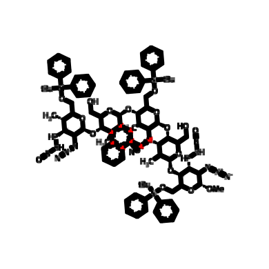 CO[C@@H]1OC(CO[Si](c2ccccc2)(c2ccccc2)C(C)(C)C)[C@@H](O[C@@H]2OC(CO)[C@@H](O[C@@H]3OC(CO[Si](c4ccccc4)(c4ccccc4)C(C)(C)C)[C@@H](O[C@@H]4OC(CO)[C@@H](O[C@@H]5OC(CO[Si](c6ccccc6)(c6ccccc6)C(C)(C)C)[C@@H](C)[C@H](PBB=O)C5N=[N+]=[N-])[C@H](C)C4OC(=O)c4ccccc4)[C@H](C)C3N=[N+]=[N-])[C@@H](OCc3ccccc3)C2C)[C@H](PBB=O)C1N=[N+]=[N-]